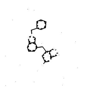 Nc1cc(Cc2cccc3nn(Cc4ccccc4)cc23)c2nn[nH]c2n1